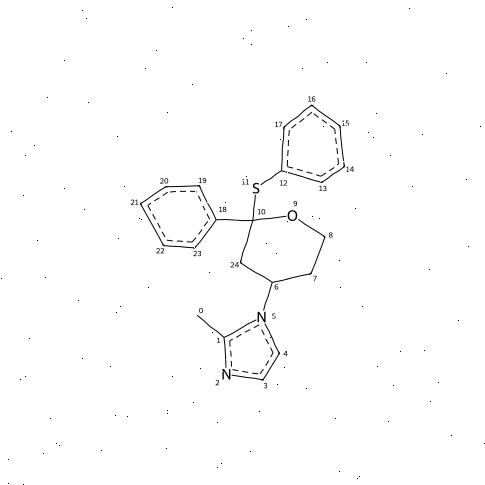 Cc1nccn1C1CCOC(Sc2ccccc2)(c2ccccc2)C1